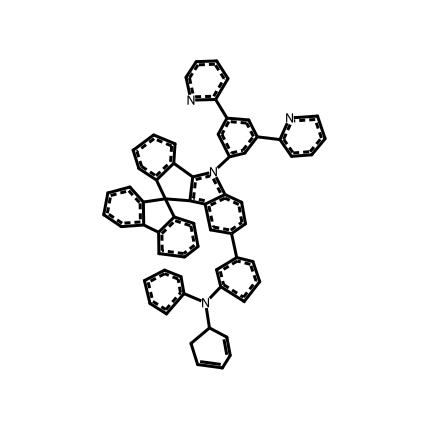 C1=CCC(N(c2ccccc2)c2cccc(-c3ccc4c(c3)c3c(n4-c4cc(-c5ccccn5)cc(-c5ccccn5)c4)-c4ccccc4C34c3ccccc3-c3ccccc34)c2)C=C1